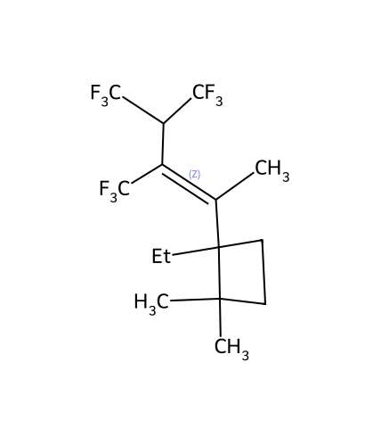 CCC1(/C(C)=C(/C(C(F)(F)F)C(F)(F)F)C(F)(F)F)CCC1(C)C